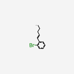 [CH2]CC/C=C/c1ccccc1Br